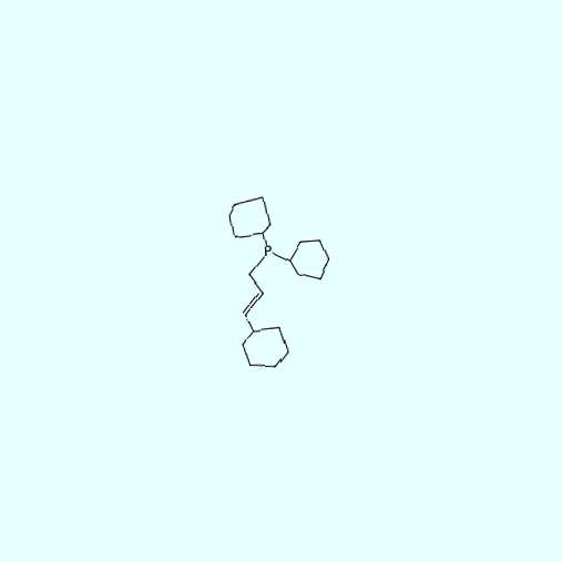 C(=CC1CCCCC1)CP(C1CCCCC1)C1CCCCC1